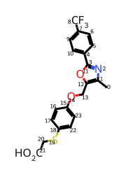 Cc1nc(-c2ccc(C(F)(F)F)cc2)oc1COc1ccc(SCC(=O)O)cc1